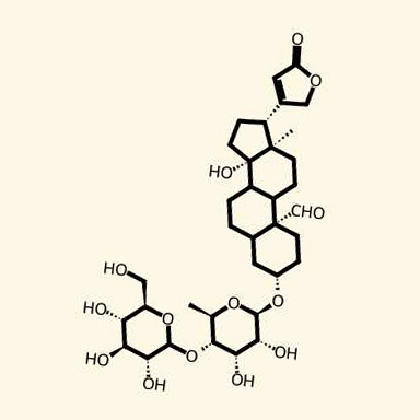 C[C@H]1O[C@@H](O[C@H]2CC[C@@]3(C=O)C(CCC4C3CC[C@]3(C)[C@@H](C5=CC(=O)OC5)CC[C@]43O)C2)[C@H](O)[C@H](O)[C@@H]1OC1O[C@H](CO)[C@@H](O)[C@H](O)[C@H]1O